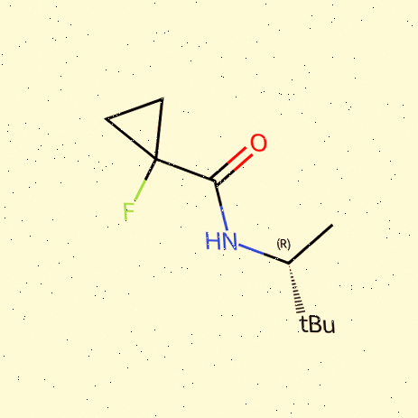 C[C@@H](NC(=O)C1(F)CC1)C(C)(C)C